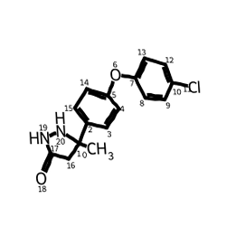 CC1(c2ccc(Oc3ccc(Cl)cc3)cc2)CC(=O)NN1